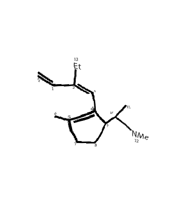 C=C/C(=C\C1=C(C)CCC1C(C)NC)CC